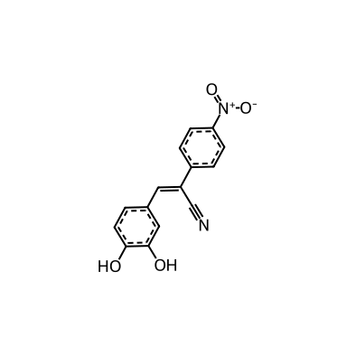 N#CC(=Cc1ccc(O)c(O)c1)c1ccc([N+](=O)[O-])cc1